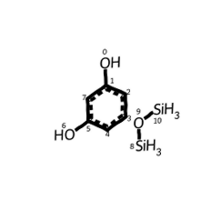 Oc1cccc(O)c1.[SiH3]O[SiH3]